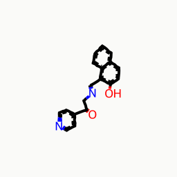 O=C(C/N=C/c1c(O)ccc2ccccc12)c1ccncc1